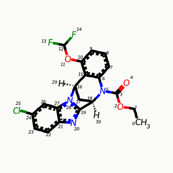 CCOC(=O)N1c2cccc(OC(F)F)c2[C@H]2C[C@@H]1c1nc3ccc(Cl)cc3n12